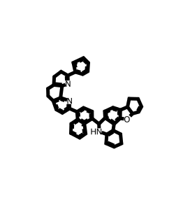 C1=CC2=C(CC1)c1c(ccc3c1OC1C=CCCC31)C(c1ccc(-c3ccc4c(n3)C3=C(CCC(c5ccccc5)=N3)CC4)c3ccccc13)N2